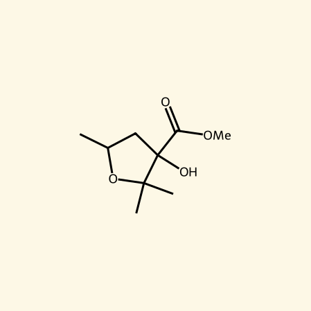 COC(=O)C1(O)CC(C)OC1(C)C